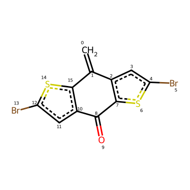 C=C1c2cc(Br)sc2C(=O)c2cc(Br)sc21